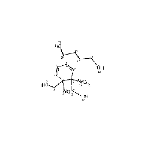 O=[N+]([O-])C1(CO)C=CC=CC1(CO)[N+](=O)[O-].OCCCCO